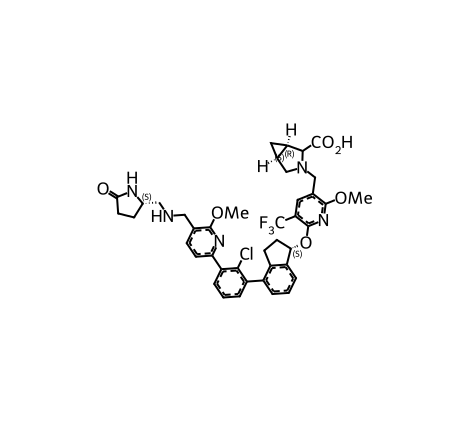 COc1nc(-c2cccc(-c3cccc4c3CC[C@@H]4Oc3nc(OC)c(CN4C[C@H]5C[C@H]5C4C(=O)O)cc3C(F)(F)F)c2Cl)ccc1CNC[C@@H]1CCC(=O)N1